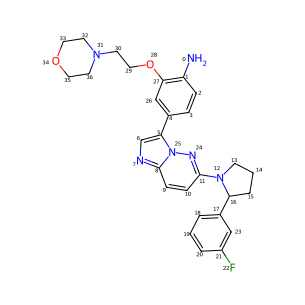 Nc1ccc(-c2cnc3ccc(N4CCCC4c4cccc(F)c4)nn23)cc1OCCN1CCOCC1